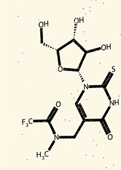 CN(Cc1cn([C@@H]2O[C@H](CO)[C@H](O)C2O)c(=S)[nH]c1=O)C(=O)C(F)(F)F